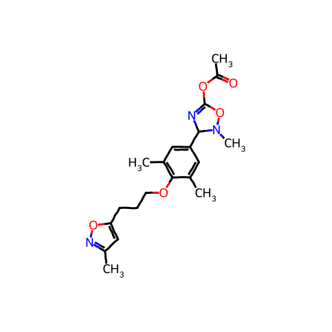 CC(=O)OC1=NC(c2cc(C)c(OCCCc3cc(C)no3)c(C)c2)N(C)O1